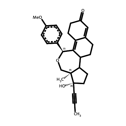 CC#C[C@]1(O)CCC2C3CCC4=CC(=O)CCC4=C3[C@H](c3ccc(OC)cc3)OC[C@@]21C